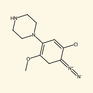 COC1=C(N2CCNCC2)C=C(Cl)C(=[N+]=[N-])C1